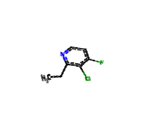 CCc1nccc(F)c1Cl